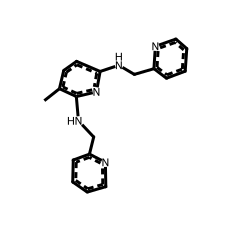 Cc1ccc(NCc2ccccn2)nc1NCc1ccccn1